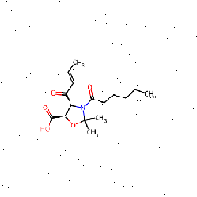 C/C=C/C(=O)[C@@H]1[C@H](C(=O)O)OC(C)(C)N1C(=O)CCCCC